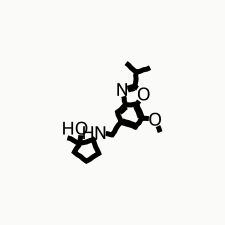 COc1cc(CNC2CCCC2(C)O)cc2nc(C(C)C)oc12